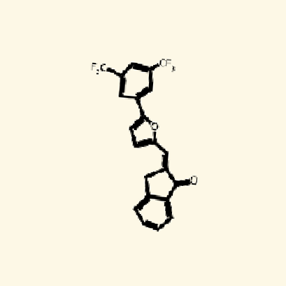 O=C1C(=Cc2ccc(-c3cc(C(F)(F)F)cc(C(F)(F)F)c3)o2)Cc2ccccc21